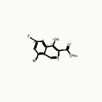 COC(=O)c1ncc2c(Br)cc(F)cc2c1O